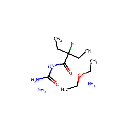 CCC(Br)(CC)C(=O)NC(N)=O.CCOCC.N.N